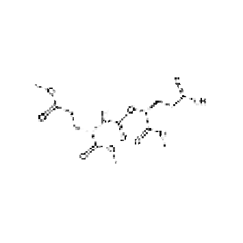 COC(=O)CC[C@H](NC(=O)O[C@@H](CCC(=O)O)C(=O)OC)C(=O)OC